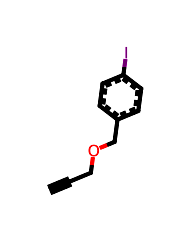 C#CCOCc1ccc(I)cc1